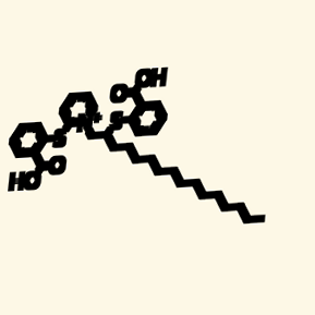 CCCCCCCCCCCCCCC(C[n+]1ccccc1Sc1ccccc1C(=O)O)Sc1ccccc1C(=O)O